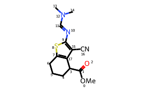 COC(=O)C1CCCc2sc(/N=C/N(C)C)c(C#N)c21